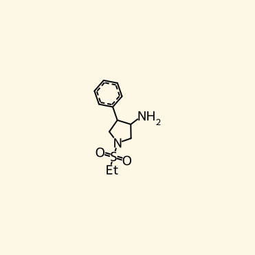 CCS(=O)(=O)N1CC(N)C(c2ccccc2)C1